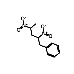 CC(CC(Cc1ccccc1)[N+](=O)[O-])[N+](=O)[O-]